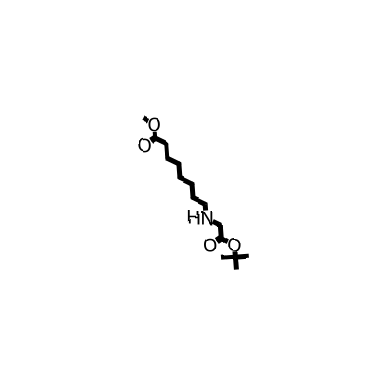 COC(=O)CCCCCCCNCC(=O)OC(C)(C)C